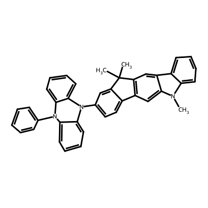 Cn1c2ccccc2c2cc3c(cc21)-c1ccc(N2c4ccccc4N(c4ccccc4)c4ccccc42)cc1C3(C)C